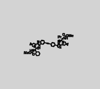 COC(=O)N[C@H](C(=O)N1CC2(CC2)C[C@H]1c1ncc(-c2ccc(C#Cc3ccc4nc([C@@H]5CC6(CC6)CN5C(=O)[C@H](NC(=O)OC)C5CCCCC5)[nH]c4c3)cc2)[nH]1)C(C)C